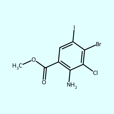 COC(=O)c1cc(I)c(Br)c(Cl)c1N